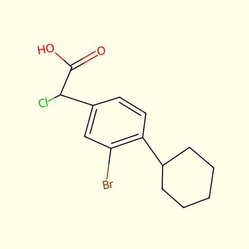 O=C(O)C(Cl)c1ccc(C2CCCCC2)c(Br)c1